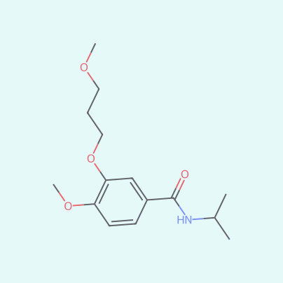 COCCCOc1cc(C(=O)NC(C)C)ccc1OC